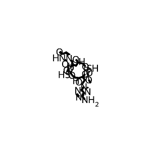 CO[C@@H]1[C@@H]2OP(=O)(S)OC[C@@H]3C[C@@H](OP(=O)(S)OC[C@H]2O[C@H]1n1cnc2c(N)ncnc21)[C@H](n1ccc(=O)[nH]c1=O)O3